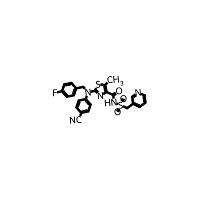 Cc1sc(N(Cc2ccc(F)cc2)c2ccc(C#N)cc2)nc1C(=O)NS(=O)(=O)Cc1cccnc1